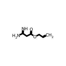 C=CCOC(=O)CC(=N)N